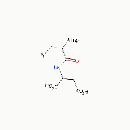 CC(=O)NC(CC(C)C)C(=O)NC(CC(=O)O)C(=O)O